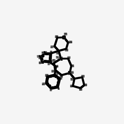 c1ccc(Cn2nnnc2C2(N3CCCN(C4CCCC4)CC3)CCOCC2)cc1